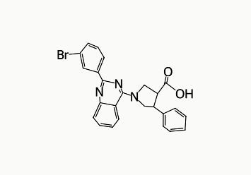 O=C(O)C1CN(c2nc(-c3cccc(Br)c3)nc3ccccc23)CC1c1ccccc1